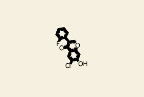 O=c1c(-c2ccccc2F)coc2cc(O)c(Cl)cc12